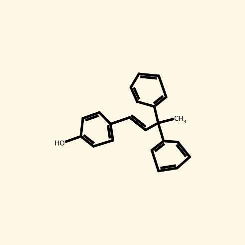 CC(C=Cc1ccc(O)cc1)(c1ccccc1)c1ccccc1